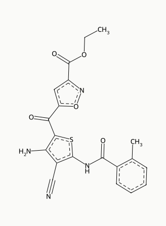 CCOC(=O)c1cc(C(=O)c2sc(NC(=O)c3ccccc3C)c(C#N)c2N)on1